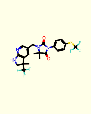 CC1(C)C(=O)N(c2ccc(SC(F)(F)F)cc2)C(=O)N1Cc1cnc2c(c1)C(C)(C(F)(F)F)CN2